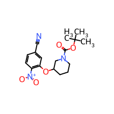 CC(C)(C)OC(=O)N1CCCC(Oc2cc(C#N)ccc2[N+](=O)[O-])C1